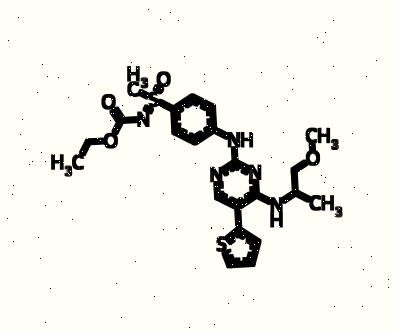 CCOC(=O)N=S(C)(=O)c1ccc(Nc2ncc(-c3cccs3)c(NC(C)COC)n2)cc1